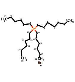 CCCCCCC[P+](CCCCCC)(CCCCCC)CCCCCC.[Br-]